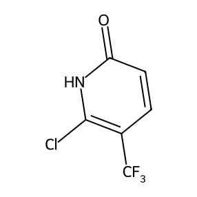 O=c1ccc(C(F)(F)F)c(Cl)[nH]1